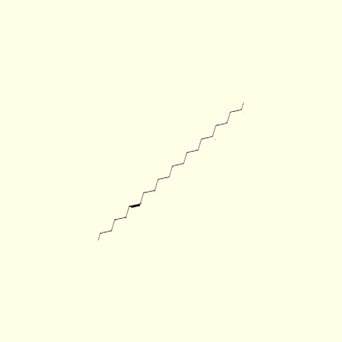 [CH2]CCCC/C=C/CCCCCCCCCCCCCC[CH2]